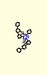 C[Si]1(C)c2cc(-c3ccccc3)ccc2-c2cccc(-c3nc(-c4ccccc4)nc(-c4cccc5c4[Si](C)(C)c4cc(-c6ccccc6)ccc4-5)n3)c21